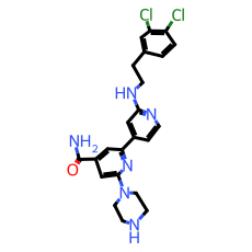 NC(=O)c1cc(-c2ccnc(NCCc3ccc(Cl)c(Cl)c3)c2)nc(N2CCNCC2)c1